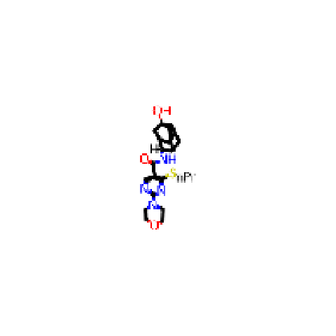 CCCSc1nc(N2CCOCC2)ncc1C(=O)N[C@H]1C2CC3CC1C[C@@](O)(C3)C2